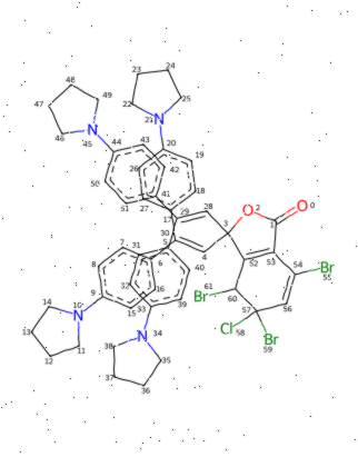 O=C1OC(C=C(c2ccc(N3CCCC3)cc2)c2ccc(N3CCCC3)cc2)(C=C(c2ccc(N3CCCC3)cc2)c2ccc(N3CCCC3)cc2)C2=C1C(Br)=CC(Cl)(Br)C2Br